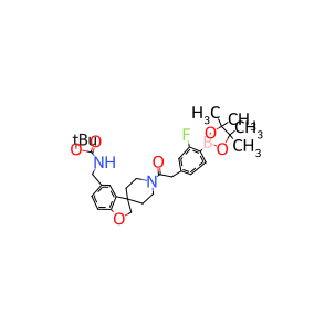 CC(C)(C)OC(=O)NCc1ccc2c(c1)C1(CCN(C(=O)Cc3ccc(B4OC(C)(C)C(C)(C)O4)c(F)c3)CC1)CO2